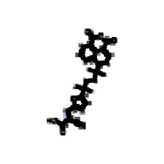 CC(C)(CCC(C)(C)c1ccc2c3c(cccc13)C(=O)OC2=O)c1ccc(/C=C(\C#N)C(=O)O)o1